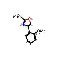 CNC1=NC(c2ccccc2OC)CO1